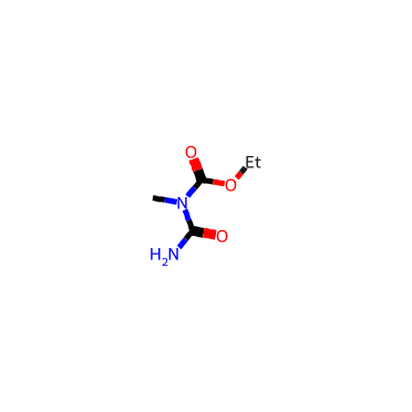 CCOC(=O)N(C)C(N)=O